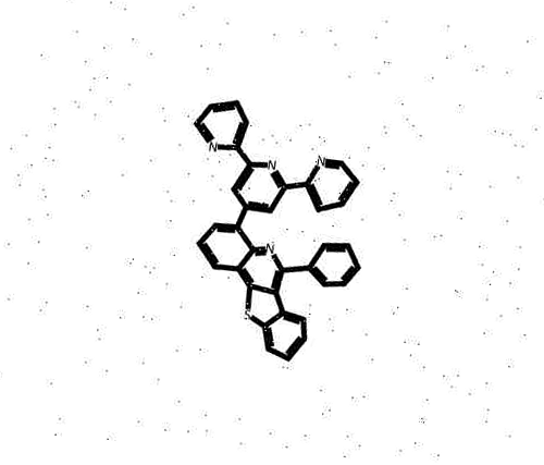 c1ccc(-c2nc3c(-c4cc(-c5ccccn5)nc(-c5ccccn5)c4)cccc3c3sc4ccccc4c23)cc1